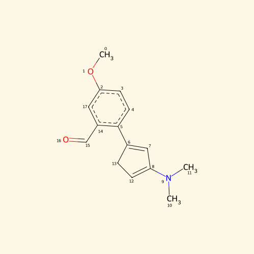 COc1ccc(C2=CC(N(C)C)=CC2)c(C=O)c1